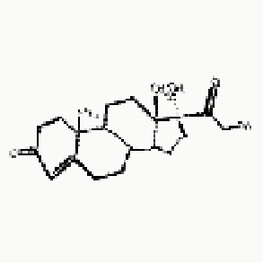 C[C@]12CCC(=O)C=C1CCC1C2CC[C@@]2(C)C1CC[C@]2(O)C(=O)CO